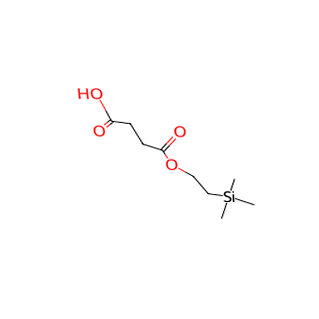 C[Si](C)(C)CCOC(=O)CCC(=O)O